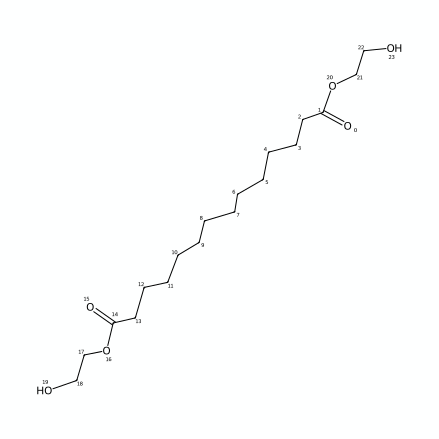 O=C(CCCCCCCCCCCCC(=O)OCCO)OCCO